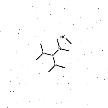 CC#N.CN(C)P(N(C)C)N(C)C